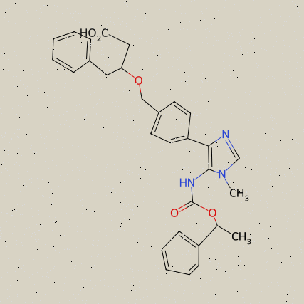 CC(OC(=O)Nc1c(-c2ccc(COC(CC(=O)O)Cc3ccccc3)cc2)ncn1C)c1ccccc1